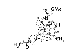 C=CC(=O)N1CCC(n2nc(N3CCN(C(=O)COC)CC34CCC4)c(-c3c(Cl)c(C)cc4[nH]ncc34)c2C)CC1